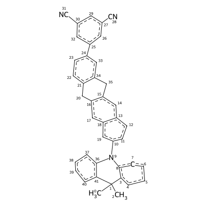 CC1(C)c2ccccc2N(c2ccc3cc4c(cc3c2)Cc2ccc(-c3cc(C#N)cc(C#N)c3)cc2C4)c2ccccc21